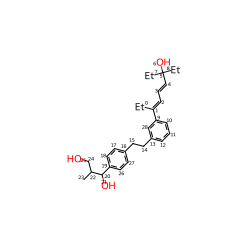 CC/C(=C\C=C\C(O)(CC)CC)c1cccc(CCc2ccc(C(O)C(C)CO)cc2)c1